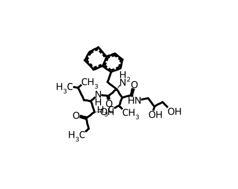 CCC(=O)[C@@H](O)C(CC(C)C)NC(=O)[C@@](N)(Cc1cccc2ccccc12)C(C(=O)NCC(O)CO)C(C)C